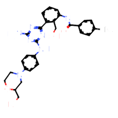 CC(C)(C)c1ccc(C(=O)Nc2cccc(-c3nc(N)nc(Nc4ccc(N5CCOC(CO)C5)cc4)n3)c2CO)cc1